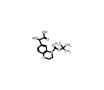 CC(C)(C)OC(=O)N1CCOc2ccc(C(O)C(=O)O)cc21